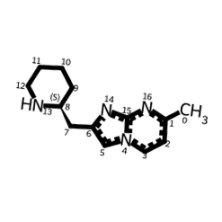 Cc1ccn2cc(C[C@@H]3CCCCN3)nc2n1